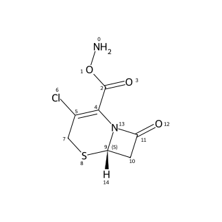 NOC(=O)C1=C(Cl)CS[C@H]2CC(=O)N12